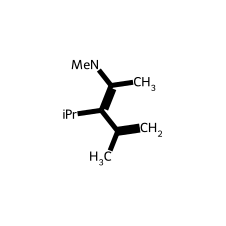 C=C(C)/C(=C(\C)NC)C(C)C